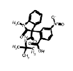 CN1C(=O)C(C(=O)NC(C)(C)C)(c2cc([N+](=O)[O-])ccc2C(=O)O)c2ccccc21